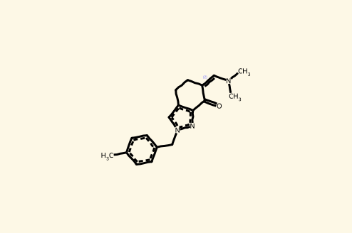 Cc1ccc(Cn2cc3c(n2)C(=O)/C(=C\N(C)C)CC3)cc1